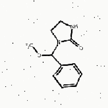 O=C1NCCN1C(OC(F)(F)F)c1ccccc1